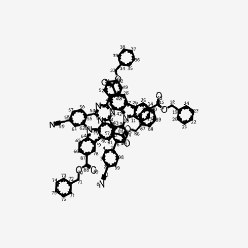 N#Cc1ccc(-c2ccc(-n3c4ccc(C(=O)OCc5ccccc5)cc4c4cc(C(=O)OCc5ccccc5)ccc43)c(-c3nc(-c4ccccc4)nc(-c4ccc(C#N)cc4-n4c5ccc(C(=O)OCc6ccccc6)cc5c5cc(C(=O)OCc6ccccc6)ccc54)n3)c2)cc1